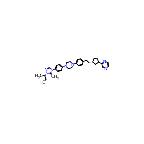 C=C1N(c2ccc(N3CCN(c4ccc(CC[C@@H]5CCC(c6cnccn6)C5)cc4)CC3)cc2)C=NN1C(C)CC